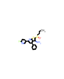 CCCC[S+]([O-])c1sc2nc(-c3ccc(F)nc3)cc(-c3ccccc3)c2c1N